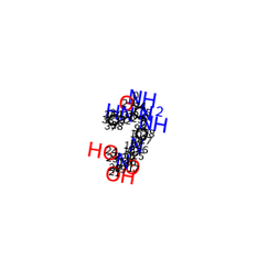 NC(=O)c1cnc(Nc2ccc(N3CCC(C(=O)N(CCO)CCO)CC3)cc2)cc1NCc1ccccc1